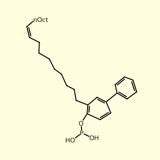 CCCCCCCC/C=C\CCCCCCCCc1cc(-c2ccccc2)ccc1OP(O)O